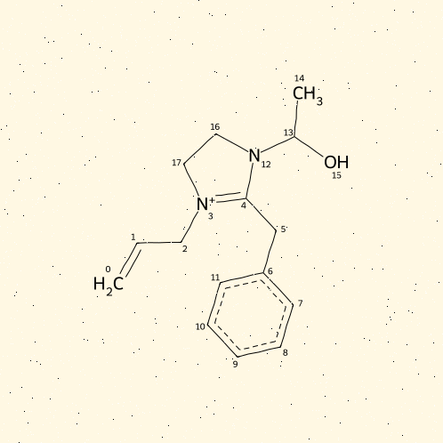 C=CC[N+]1=C(Cc2ccccc2)N(C(C)O)CC1